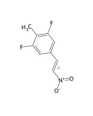 Cc1c(F)cc(/C=C/[N+](=O)[O-])cc1F